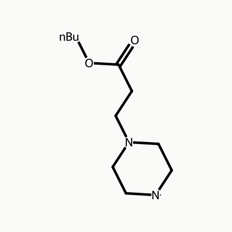 CCCCOC(=O)CCN1CC[N]CC1